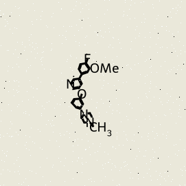 COc1cc(-c2[c]ncc(Oc3cccc(N4CCN(C)CC4)c3)c2)ccc1F